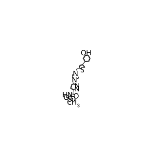 CS(=O)(=O)NC(=O)c1ccc(N2CCN(Cc3cc(-c4cccc(O)c4)cs3)CC2)nn1